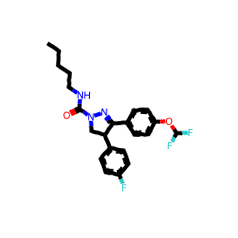 CCCCCNC(=O)N1CC(c2ccc(F)cc2)C(c2ccc(OC(F)F)cc2)=N1